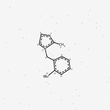 Cc1nccn1Cc1ccccc1C(C)(C)C